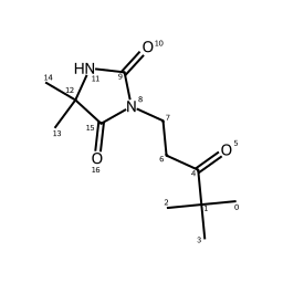 CC(C)(C)C(=O)CCN1C(=O)NC(C)(C)C1=O